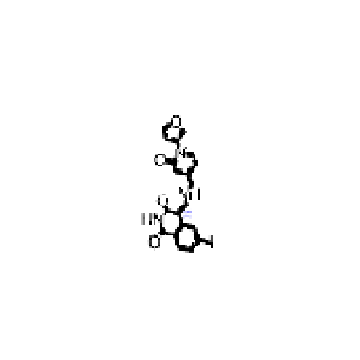 O=C1NC(=O)c2ccc(I)cc2/C1=C/NCc1ccn(-c2ccoc2)c(=O)c1